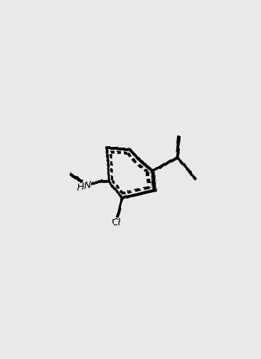 CNc1ccc(C(C)C)cc1Cl